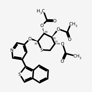 CC(=O)O[C@@H]1[C@@H](OC(C)=O)[C@H](OC(C)=O)CS[C@H]1Oc1cncc(-c2scc3ccccc23)c1